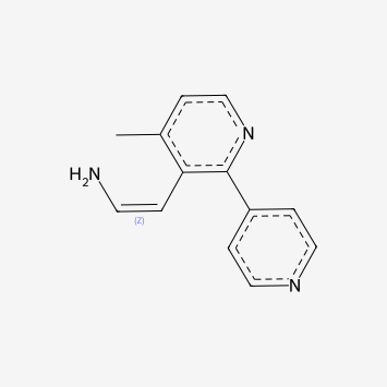 Cc1ccnc(-c2ccncc2)c1/C=C\N